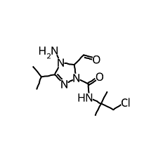 CC(C)C1=NN(C(=O)NC(C)(C)CCl)C(C=O)N1N